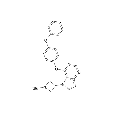 CC(C)(C)N1CC(n2ccc3ncnc(Oc4ccc(Oc5ccccc5)cc4)c32)C1